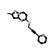 Cc1cc2nc(OCC#Cc3ccccn3)ccn2n1